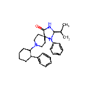 CC(C)C1NC(=O)C2(CCN(C3CCCCC3c3ccccc3)CC2)N1c1ccccc1